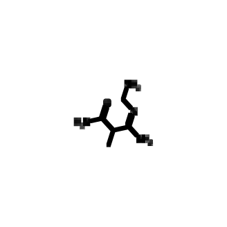 CC(C(N)=O)/C(N)=N\CN